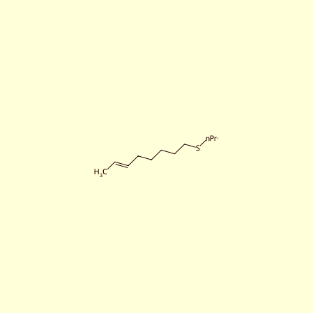 C/C=C/CCCCCS[CH]CC